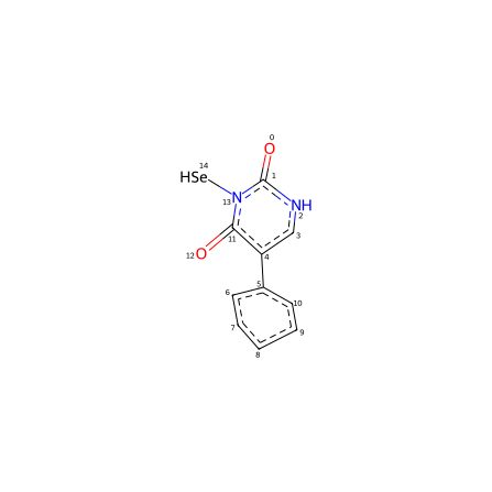 O=c1[nH]cc(-c2ccccc2)c(=O)n1[SeH]